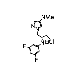 CNc1cnn(CC2CCCN2c2cc(F)cc(F)c2)c1.Cl